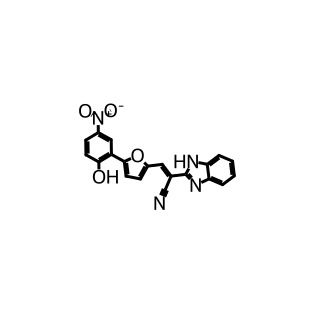 N#C/C(=C\c1ccc(-c2cc([N+](=O)[O-])ccc2O)o1)c1nc2ccccc2[nH]1